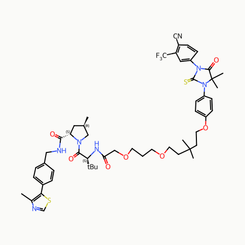 Cc1ncsc1-c1ccc(CNC(=O)[C@@H]2C[C@@H](C)CN2C(=O)[C@@H](NC(=O)COCCCOCCC(C)(C)CCOc2ccc(N3C(=S)N(c4ccc(C#N)c(C(F)(F)F)c4)C(=O)C3(C)C)cc2)C(C)(C)C)cc1